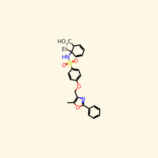 CCC1(NS(=O)(=O)c2ccc(OCc3nc(-c4ccccc4)oc3C)cc2)C=CC=CC1C(=O)O